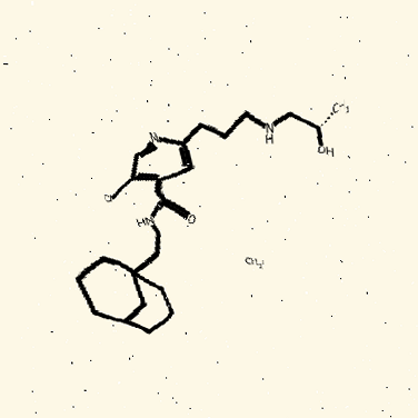 C[C@H](O)CNCCCc1cc(C(=O)NCC23CCCC(CCC2)C3)c(Cl)cn1.[CH2]